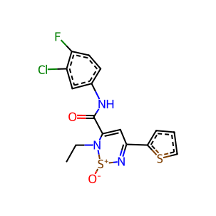 CCN1C(C(=O)Nc2ccc(F)c(Cl)c2)=CC(c2cccs2)=N[S+]1[O-]